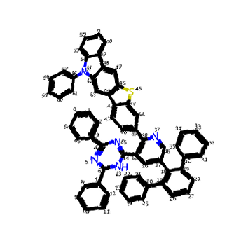 c1ccc(C2=NC(c3ccccc3)NC(c3cc(-c4c(-c5ccccc5)cccc4-c4ccccc4)cnc3-c3ccc4c(c3)sc3cc5c6ccccc6n(-c6ccccc6)c5cc34)=N2)cc1